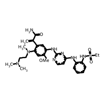 C=C(C(N)=O)c1cc(Nc2nccc(Nc3ccccc3NS(=O)(=O)CC)n2)c(OC)cc1N(C)CCN(C)C